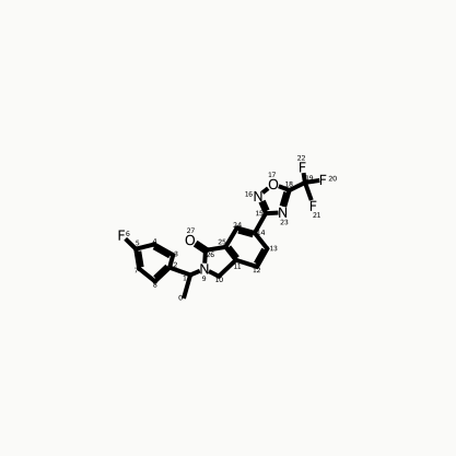 CC(c1ccc(F)cc1)N1Cc2ccc(-c3noc(C(F)(F)F)n3)cc2C1=O